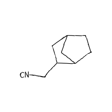 [C-]#[N+]CC1CC2CCC1C2